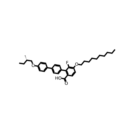 CCCCCCCCCCOc1ccc(C(=O)O)c(-c2ccc(-c3ccc(OC[C@@H](C)CC)cc3)cc2)c1F